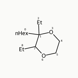 CCCCCCC1(CC)OCCOC1CC